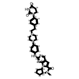 CN(C)C(=O)c1cc2cnc(Nc3ccc(N4CCN(CCc5ccc(N6CCC(=O)NC6=O)cc5)CC4)cc3)nc2n1C1CCCC1